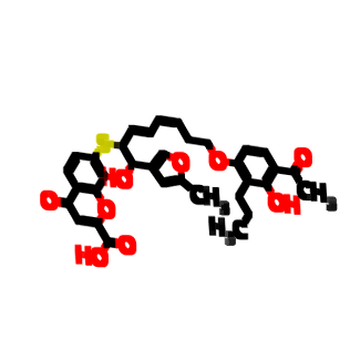 CCCc1c(OCC/C=C\C=C\[C@H](Sc2ccc3c(=O)cc(C(=O)O)oc3c2)[C@H](O)c2coc(C)c2)ccc(C(C)=O)c1O